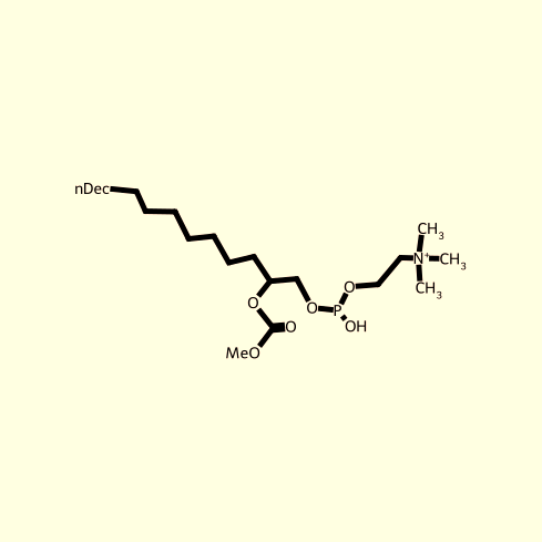 CCCCCCCCCCCCCCCCCC(COP(O)OCC[N+](C)(C)C)OC(=O)OC